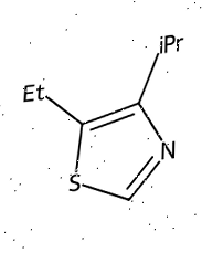 [CH2]Cc1scnc1C(C)C